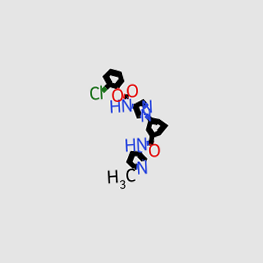 Cc1ccc(NC(=O)c2cccc(-n3cc(NC(=O)Oc4ccccc4Cl)cn3)c2)cn1